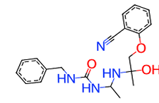 CC(NC(=O)NCc1ccccc1)NC(C)(O)COc1ccccc1C#N